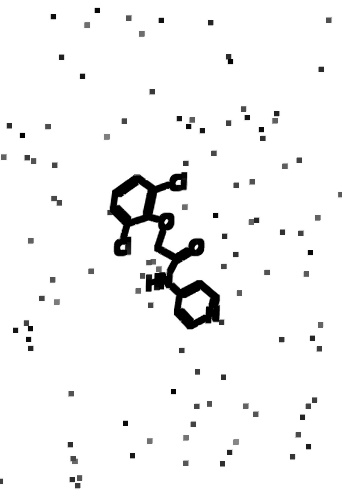 O=C(COc1c(Cl)cccc1Cl)Nc1ccncc1